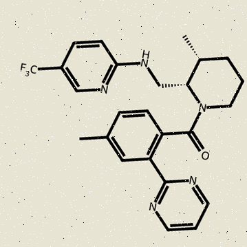 Cc1ccc(C(=O)N2CCC[C@@H](C)[C@H]2CNc2ccc(C(F)(F)F)cn2)c(-c2ncccn2)c1